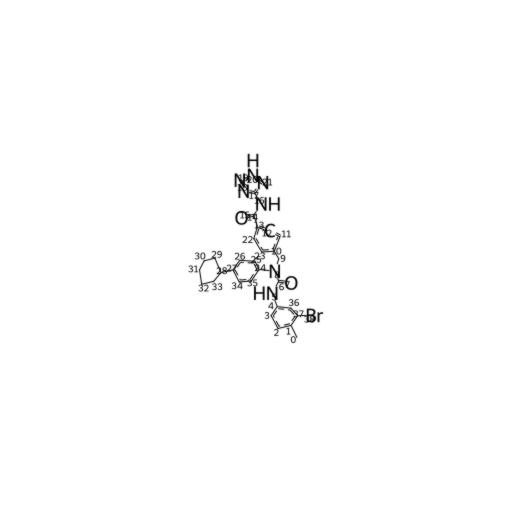 Cc1ccc(NC(=O)N(Cc2ccc(C(=O)Nc3nn[nH]n3)cc2)c2ccc(C3CCCCC3)cc2)cc1Br